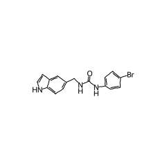 O=C(NCc1ccc2[nH]ccc2c1)Nc1ccc(Br)cc1